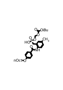 CCCCCCCCOc1ccc(C(=O)Nc2ccc(C)cc2CP(=O)(O)OCOC(=O)OCC(C)C)cc1